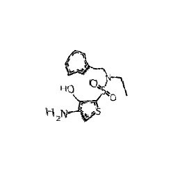 CCN(Cc1ccccc1)S(=O)(=O)c1scc(N)c1O